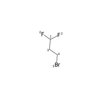 F[C](F)CCBr